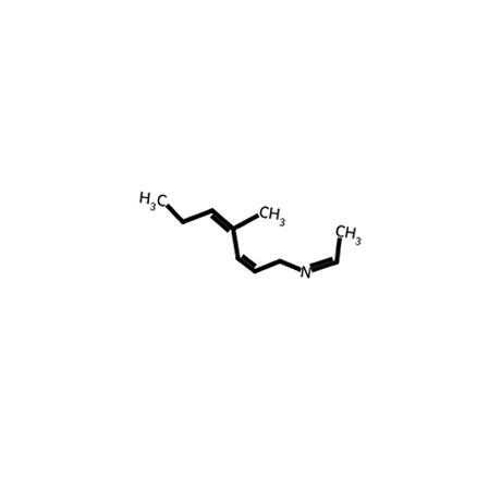 C/C=N\C/C=C\C(C)=C/CC